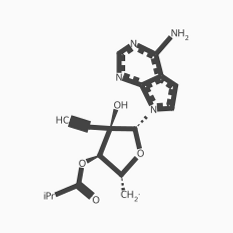 C#C[C@@]1(O)[C@H](OC(=O)C(C)C)[C@@H]([CH2])O[C@H]1n1ccc2c(N)ncnc21